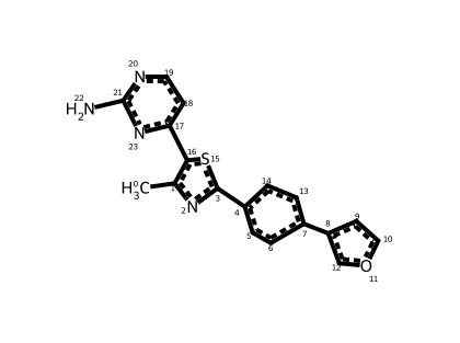 Cc1nc(-c2ccc(-c3ccoc3)cc2)sc1-c1ccnc(N)n1